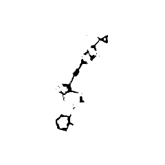 Cc1ccccc1COC(=O)Nc1c(Cl)noc1C#Cc1nc2sc(C3(C(=O)O)CC3)nc2s1